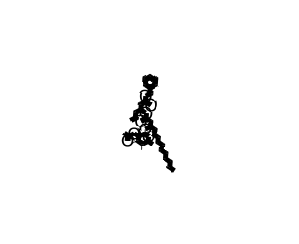 CCCCCCCCCCCC(CC(=O)OC(CCC)CC(=O)OCc1ccccc1)O[C@@H]1OC(C)[C@H](C)[C@H](C)C1OC(C)=O